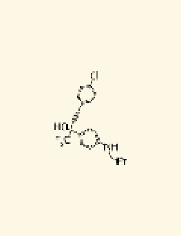 CC(C)CNc1ccc(C(O)(C#Cc2ccc(Cl)cc2)C(F)(F)F)cc1